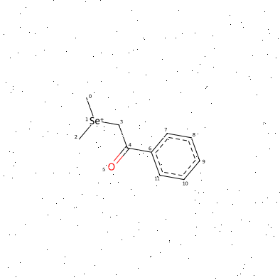 C[Se+](C)CC(=O)c1ccccc1